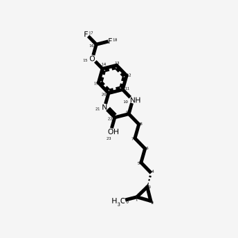 CC1C[C@H]1CCCCCC1Nc2ccc(OC(F)F)cc2N=C1O